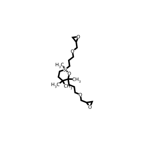 CC1(C)CC[Si](C)(CCCOCC2CO2)OC1(C)CCCOCC1CO1